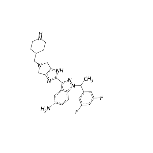 CC(c1cc(F)cc(F)c1)n1nc(-c2nc3c([nH]2)CN(CC2CCNCC2)C3)c2cc(N)ccc21